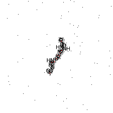 CC(C)(C)C(=O)OCOC(=O)C[C@@H]1C[C@@H](COc2ccc(-c3ccc(C(=N)NC(=O)OCc4ccccc4)cn3)cc2)NC1=O